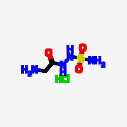 Cl.NCC(=O)NNS(N)(=O)=O